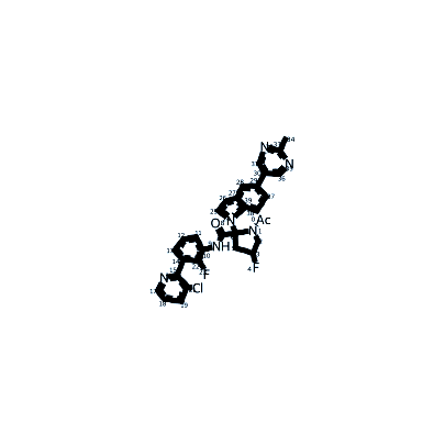 CC(=O)N1CC(F)CC1(C(=O)Nc1cccc(-c2ncccc2Cl)c1F)n1ccc2cc(-c3cnc(C)nc3)ccc21